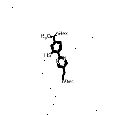 CCCCCCCCCCCCc1cnc(-c2ccc(C(C)CCCCCC)cc2S)nc1